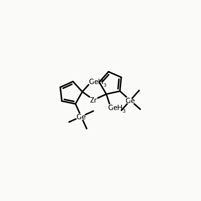 [CH3][Ge]([CH3])([CH3])[C]1=CC=C[C]1([GeH3])[Zr][C]1([GeH3])C=CC=[C]1[Ge]([CH3])([CH3])[CH3]